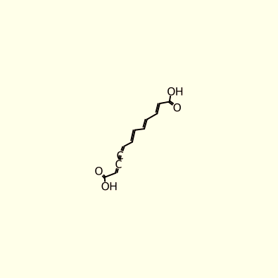 O=C(O)C=C=C=CC=CC=CC=CC(=O)O